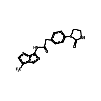 O=C(Cc1ccc(N2CCNC2=O)cc1)Nc1ncn2c(C(F)(F)F)csc12